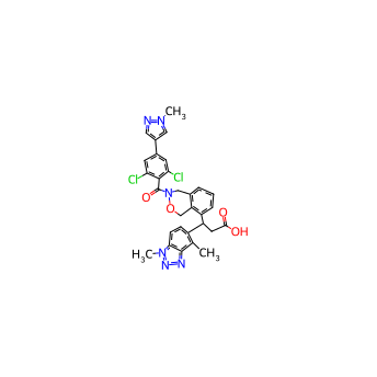 Cc1c(C(CC(=O)O)c2cccc3c2CON(C(=O)c2c(Cl)cc(-c4cnn(C)c4)cc2Cl)C3)ccc2c1nnn2C